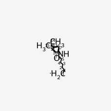 [CH2]CCCCCC(=O)Nc1ccc(C(C)C)cc1